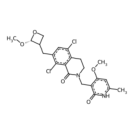 COc1cc(C)[nH]c(=O)c1CN1CCc2c(Cl)cc(CC3CO[C@H]3OC)c(Cl)c2C1=O